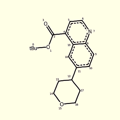 CC(C)(C)OC(=O)c1ccnc2ccc(C3CCOCC3)cc12